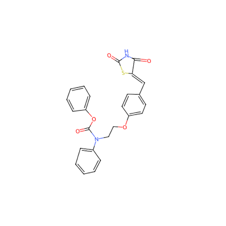 O=C1NC(=O)/C(=C/c2ccc(OCCN(C(=O)Oc3ccccc3)c3ccccc3)cc2)S1